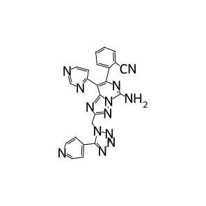 N#Cc1ccccc1-c1nc(N)n2nc(Cn3nnnc3-c3ccncc3)nc2c1-c1ccncn1